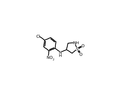 O=[N+]([O-])c1cc(Cl)ccc1NC1CNS(=O)(=O)C1